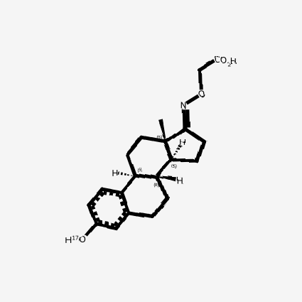 C[C@]12CC[C@@H]3c4ccc([17OH])cc4CC[C@H]3[C@@H]1CCC2=NOCC(=O)O